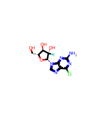 Nc1nc(Cl)c2ncn([C@@H]3O[C@H](CO)[C@@H](O)[C@@]3(O)F)c2n1